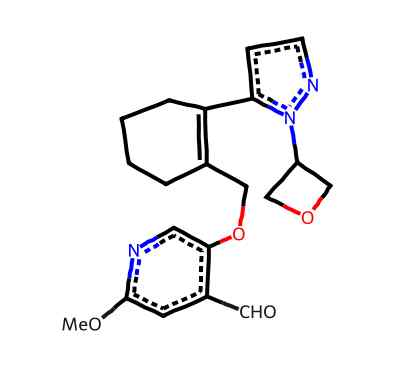 COc1cc(C=O)c(OCC2=C(c3ccnn3C3COC3)CCCC2)cn1